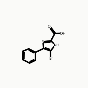 O=C(O)c1nc(-c2ccccc2)c(Br)[nH]1